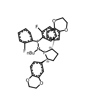 CCCCN(P(c1ccccc1F)c1ccccc1F)P1[C@H](c2ccc3c(c2)OCCO3)CC[C@H]1c1ccc2c(c1)OCCO2